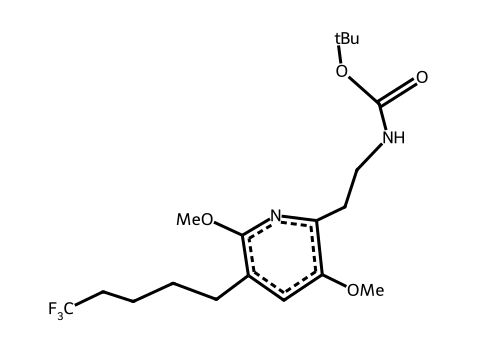 COc1cc(CCCCC(F)(F)F)c(OC)nc1CCNC(=O)OC(C)(C)C